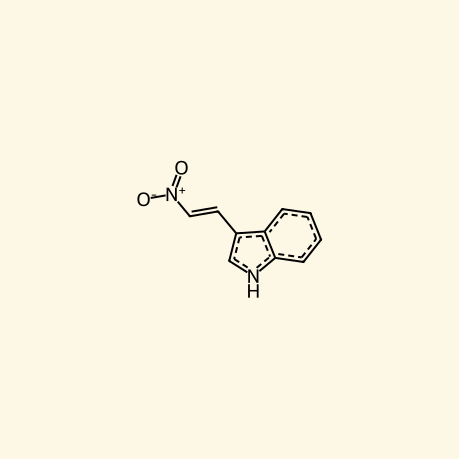 O=[N+]([O-])C=Cc1c[nH]c2ccccc12